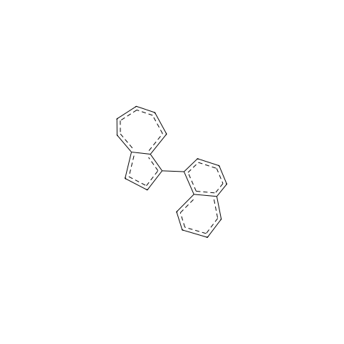 c1ccc2ccc(-c3cccc4ccccc34)c-2cc1